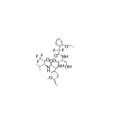 C=C(/C=C\C(=C/C)OC)[C@H](NC(=O)[C@H](CO)NC(=O)C(F)(F)c1ccccc1OCC)C(=O)N[C@H](C(=O)C(F)(F)F)C(C)C